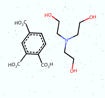 O=C(O)c1ccc(C(=O)O)c(C(=O)O)c1.OCCN(CCO)CCO